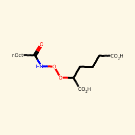 CCCCCCCCC(=O)NOOC(CCCC(=O)O)C(=O)O